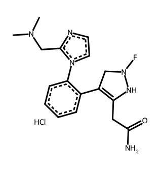 CN(C)Cc1nccn1-c1ccccc1C1=C(CC(N)=O)NN(F)C1.Cl